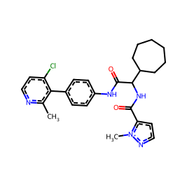 Cc1nccc(Cl)c1-c1ccc(NC(=O)C(NC(=O)c2ccnn2C)C2CCCCCC2)cc1